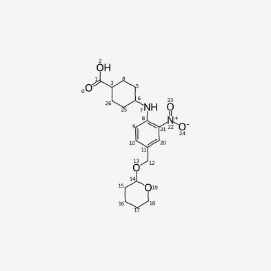 O=C(O)C1CCC(Nc2ccc(COC3CCCCO3)cc2[N+](=O)[O-])CC1